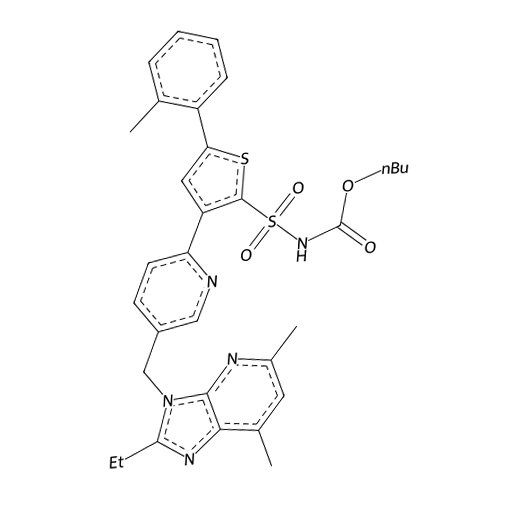 CCCCOC(=O)NS(=O)(=O)c1sc(-c2ccccc2C)cc1-c1ccc(Cn2c(CC)nc3c(C)cc(C)nc32)cn1